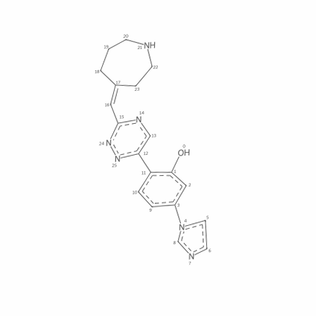 Oc1cc(-n2ccnc2)ccc1-c1cnc(/C=C2/CCCNCC2)nn1